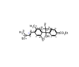 CCOC(=O)c1ccc(C(O)(c2cc(C)c(/N=C/N(C)CC)cc2CC)C(C)(C)F)cc1